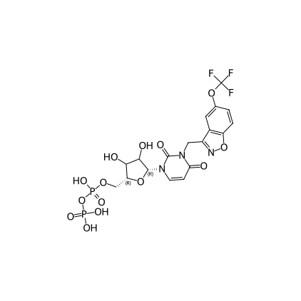 O=c1ccn([C@@H]2O[C@H](COP(=O)(O)OP(=O)(O)O)C(O)C2O)c(=O)n1Cc1noc2ccc(OC(F)(F)F)cc12